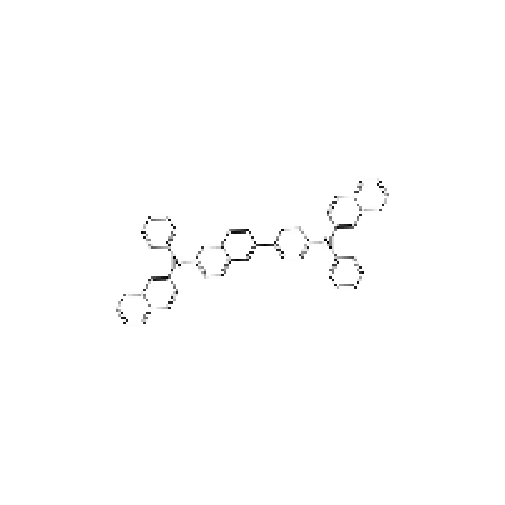 c1ccc(N(c2ccc(-c3ccc4cc(N(c5ccccc5)c5ccc6ccccc6c5)ccc4c3)cc2)c2ccc3ccccc3c2)cc1